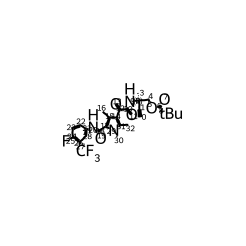 C#C[C@](C)(COC(=O)C(C)(C)C)NC(=O)C(=O)c1c(C)c(C(=O)Nc2ccc(F)c(C(F)(F)F)c2)n(C)c1C